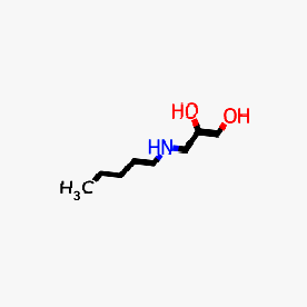 CCCCCNCC(O)CO